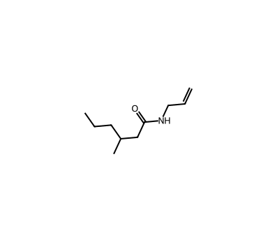 C=CCNC(=O)CC(C)CCC